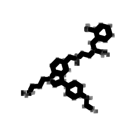 CN(CCNCc1ccc2c(c1)c(-c1ccc(OCF)cc1)cn2CCCN)Cc1ccccc1Cl